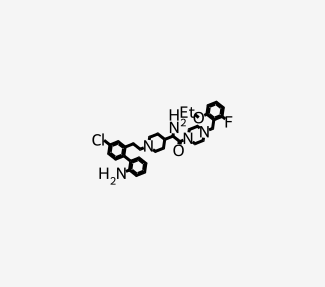 CCOc1cccc(F)c1CN1CCN(C(=O)C(N)C2CCN(CCc3cc(Cl)ccc3-c3ccccc3N)CC2)CC1